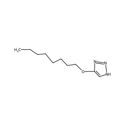 CCCCCCCCOc1c[nH]nn1